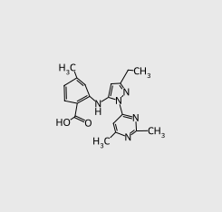 CCc1cc(Nc2cc(C)ccc2C(=O)O)n(-c2cc(C)nc(C)n2)n1